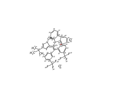 CC1C=C(C(C)(C)C)C=[C]1[Zr+2](=[C](c1cccc(C(F)(F)F)c1)c1cccc(C(F)(F)F)c1)[CH]1c2ccccc2-c2ccccc21.[Cl-].[Cl-]